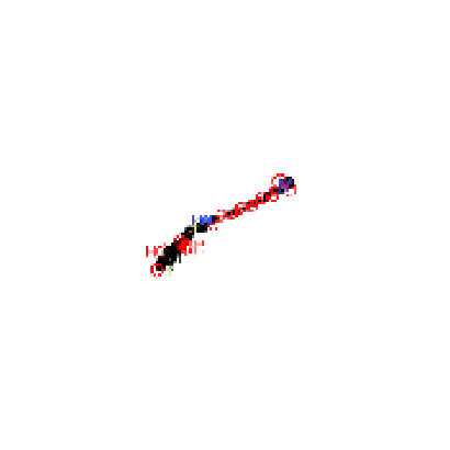 C[C@]12C=CC(=O)C=C1[C@@H](F)C[C@@H]1C2[C@@H](O)C[C@@]2(C)[C@H]1C[C@H]1O[C@@H](c3ccc(Sc4cccc(NC(=O)CCOCCOCCOCCOCCOCCOCCN5C(=O)C=CC5=O)c4)cc3)O[C@]12C(=O)CO